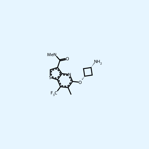 CNC(=O)c1csc2c(C(F)(F)F)c(C)c(O[C@H]3C[C@@H](N)C3)nc12